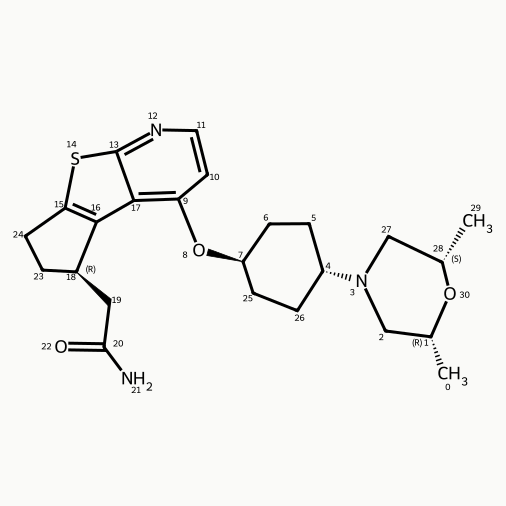 C[C@@H]1CN([C@H]2CC[C@H](Oc3ccnc4sc5c(c34)[C@@H](CC(N)=O)CC5)CC2)C[C@H](C)O1